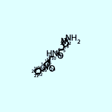 Nc1ccc(/C=C/C(=O)NCCC2C3CN(Cc4ccccc4)C(=O)C23)cn1